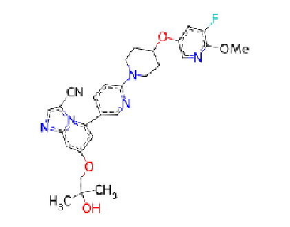 COc1ncc(OC2CCN(c3ccc(-c4cc(OCC(C)(C)O)cc5ncc(C#N)n45)cn3)CC2)cc1F